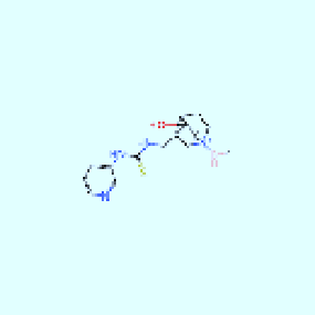 CB[N+]12CCC(CC1)C(O)(CNC(=S)Nc1cccnc1)C2